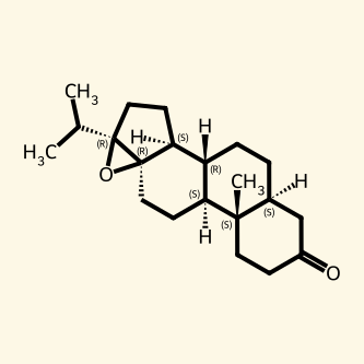 CC(C)[C@]12CC[C@H]3[C@@H]4CC[C@H]5CC(=O)CC[C@]5(C)[C@H]4CC[C@@]31O2